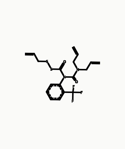 C=CCSSC(=O)N(C(=O)N(CC=C)CC=C)c1ccccc1C(F)(F)F